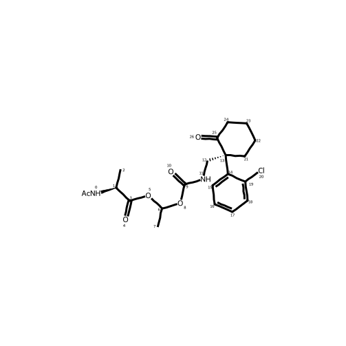 CC(=O)N[C@@H](C)C(=O)OC(C)OC(=O)NC[C@@]1(c2ccccc2Cl)CCCCC1=O